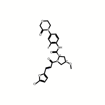 CO[C@@H]1C[C@H](C(=O)Nc2ccc(N3CCOCC3=O)cc2F)N(C(=O)/C=C/c2ccc(Cl)o2)C1